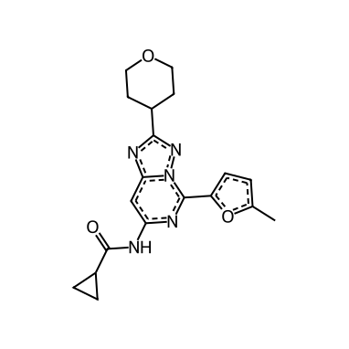 Cc1ccc(-c2nc(NC(=O)C3CC3)cc3nc(C4CCOCC4)nn23)o1